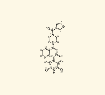 O=C(c1ccsc1)N1CCN(C(=O)c2cccc(Cn3c(=O)[nH]c(=O)c4ccccc43)c2)CC1